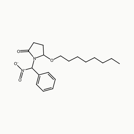 CCCCCCCCOC1CCC(=O)N1C(c1ccccc1)[N+](=O)[O-]